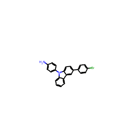 Nc1ccc(-n2c3ccccc3c3cc(-c4ccc(Br)cc4)ccc32)cc1